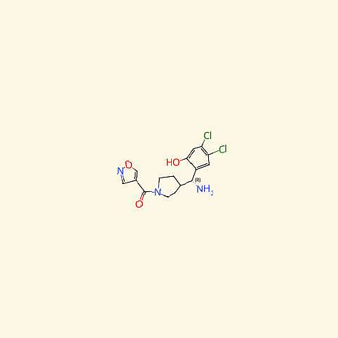 N[C@@H](c1cc(Cl)c(Cl)cc1O)C1CCN(C(=O)c2cnoc2)CC1